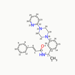 CC(NC(=O)C=Cc1ccccc1)c1cccc(N2CCN(c3ccccn3)CC2)c1